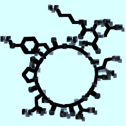 CCCCNC(=O)N(C)[C@H](CC(C)C)C(=O)N[C@@H]1CN[C@H]([C@@H](C)CC)[C@@H](O)CC(=O)O[C@@H](C(C)C)C(=O)[C@H](C)C(=O)N[C@@H](CC(C)C)C(=O)N2CCC[C@H]2C(=O)N(C)[C@@H](Cc2ccc(OC)cc2)C(=O)O[C@@H]1C